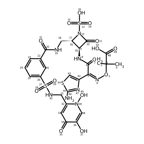 CC(C)(ON=C(C(=O)N[C@@H]1C(=O)N(S(=O)(=O)O)[C@H]1CNC(=O)c1cccc(S(=O)(=O)NCc2cc(=O)c(O)cn2O)c1)c1csc(N)n1)C(=O)O